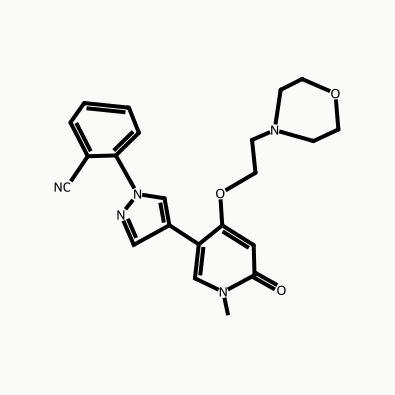 Cn1cc(-c2cnn(-c3ccccc3C#N)c2)c(OCCN2CCOCC2)cc1=O